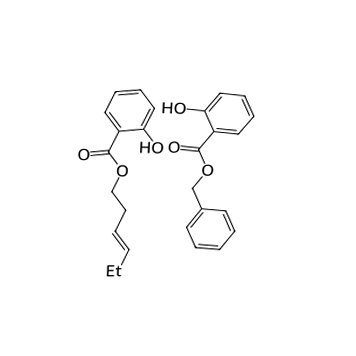 CCC=CCCOC(=O)c1ccccc1O.O=C(OCc1ccccc1)c1ccccc1O